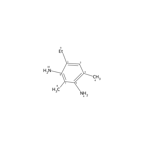 CCc1cc(C)c(N)c(C)c1N